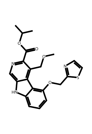 COCc1c(C(=O)OC(C)C)ncc2[nH]c3cccc(OCc4nccs4)c3c12